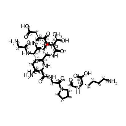 CC(C)C[C@H](NC(=O)[C@@H](NC(=O)[C@H](CC(=O)O)NC(=O)[C@H](CCC(N)=O)NC(=O)CN)[C@@H](C)O)C(=O)N[C@@H](C)C(=O)NCC(=O)N1CCC[C@H]1C(=O)N[C@@H](CCCCN)C(=O)O